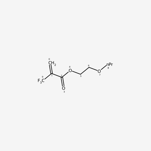 C=C(C(=O)OCCOCCC)C(F)(F)F